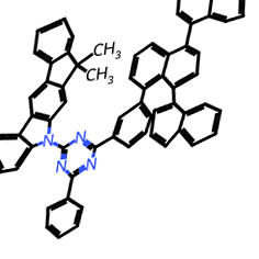 CC1(C)c2ccccc2-c2cc3c4ccccc4n(-c4nc(-c5ccccc5)nc(-c5cccc(-c6cccc7c(-c8cccc9ccccc89)ccc(-c8cccc9ccccc89)c67)c5)n4)c3cc21